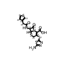 Nc1nnc(SC2=C(C(=O)O)N3C(=O)C(NC(=O)Cc4ccsc4)[C@@H]3SC2)s1